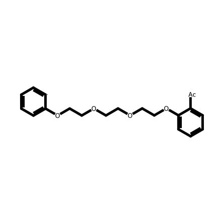 CC(=O)c1ccccc1OCCOCCOCCOc1[c]cccc1